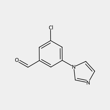 O=Cc1cc(Cl)cc(-n2ccnc2)c1